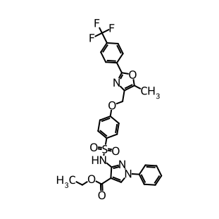 CCOC(=O)c1cn(-c2ccccc2)nc1NS(=O)(=O)c1ccc(OCc2nc(-c3ccc(C(F)(F)F)cc3)oc2C)cc1